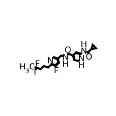 CC(F)(I)CCCc1ncc(CNC(=O)C2=CCNC(NC(=O)C3CC3)=C2)cc1F